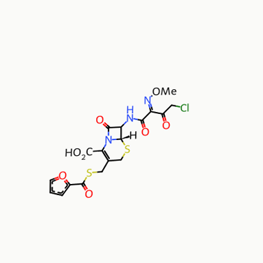 CON=C(C(=O)CCl)C(=O)NC1C(=O)N2C(C(=O)O)=C(CSC(=O)c3ccco3)CS[C@@H]12